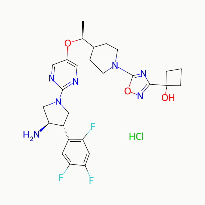 C[C@H](Oc1cnc(N2C[C@H](c3cc(F)c(F)cc3F)[C@@H](N)C2)nc1)C1CCN(c2nc(C3(O)CCC3)no2)CC1.Cl